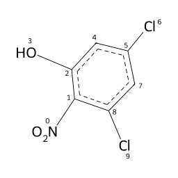 O=[N+]([O-])c1c(O)cc(Cl)cc1Cl